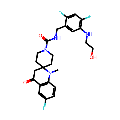 CN1c2ccc(F)cc2C(=O)CC12CCN(C(=O)NCc1cc(NCCO)c(F)cc1F)CC2